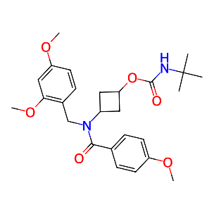 COc1ccc(C(=O)N(Cc2ccc(OC)cc2OC)C2CC(OC(=O)NC(C)(C)C)C2)cc1